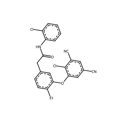 CCc1ccc(CC(=O)Nc2ccccc2Cl)cc1Oc1cc(C#N)cc(C#N)c1Cl